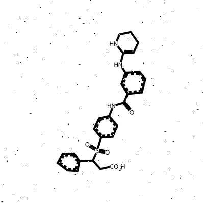 O=C(O)CC(c1ccccc1)S(=O)(=O)c1ccc(NC(=O)c2cccc(NC3=CCCCN3)c2)cc1